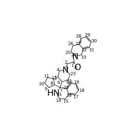 O=C(CN1CCC(C2(C3CCCC3)NCCc3ccccc32)CC1)N1CCc2ccccc2C1